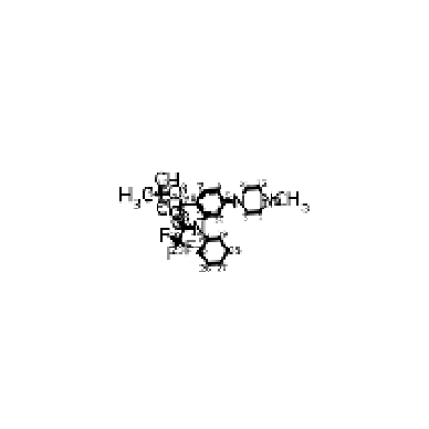 CN1CCN(c2ccc(C(=O)OC(C)(C)C)c(N(C(=O)C(F)(F)F)C3CCCCC3)c2)CC1